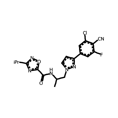 CC(Cn1ccc(-c2cc(F)c(C#N)c(Cl)c2)n1)NC(=O)c1nc(C(C)C)no1